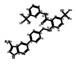 Nc1n[nH]c2ncc(-c3ccc(CNc4ncc(C(F)(F)F)cc4C(=O)Nc4cccc(C(F)(F)F)c4)cc3)cc12